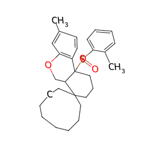 Cc1ccc2c(c1)OCC1C3(CCCCCCCC3)CCCC21S(=O)(=O)c1ccccc1C